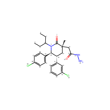 CCC(CC)N1C(=O)[C@](C)(CC(=O)NN)C[C@H](c2cccc(Cl)c2)[C@H]1c1ccc(Cl)cc1